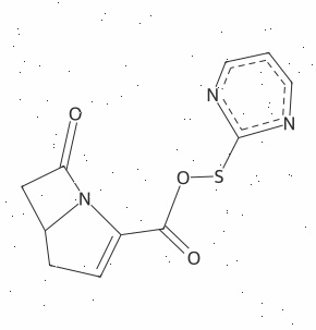 O=C(OSc1ncccn1)C1=CCC2CC(=O)N12